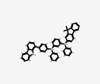 CC1(C)c2ccccc2-c2ccc(N(c3ccccc3)c3cccc(N(c4ccccc4)c4ccc(-c5cccc6c5sc5ccccc56)cc4)c3)cc21